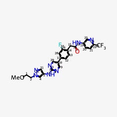 COCCn1cc(Nc2ncc(-c3ccc(CC(=O)Nc4ccc(C(F)(F)F)nc4)c(F)c3)cn2)cn1